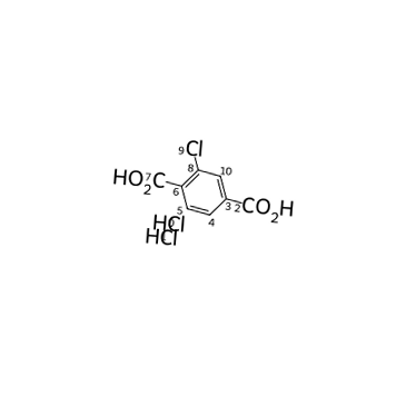 Cl.Cl.O=C(O)c1ccc(C(=O)O)c(Cl)c1